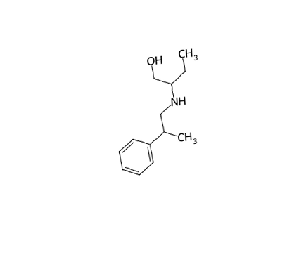 CCC(CO)NCC(C)c1ccccc1